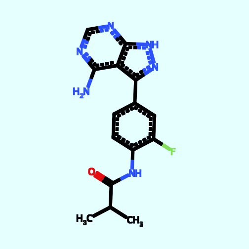 CC(C)C(=O)Nc1ccc(-c2n[nH]c3ncnc(N)c23)cc1F